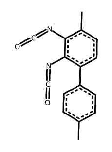 Cc1ccc(-c2ccc(C)c(N=C=O)c2N=C=O)cc1